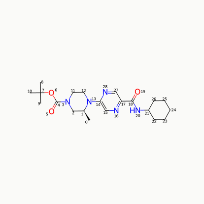 C[C@H]1CN(C(=O)OC(C)(C)C)CCN1c1cnc(C(=O)NC2CCCCC2)cn1